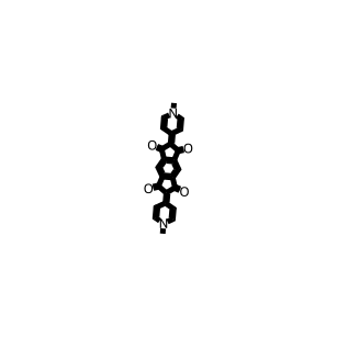 CN1C=CC(=C2C(=O)c3cc4c(cc3C2=O)C(=O)C(=C2C=CN(C)C=C2)C4=O)C=C1